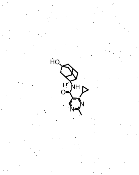 Cc1ncc(C(=O)N[C@H]2C3CC4CC2C[C@@](O)(C4)C3)c(C2CC2)n1